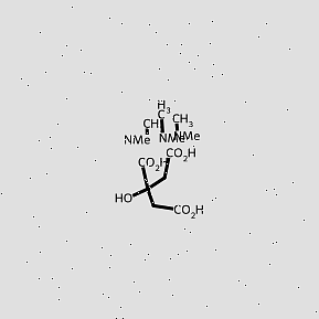 CNC.CNC.CNC.O=C(O)CC(O)(CC(=O)O)C(=O)O